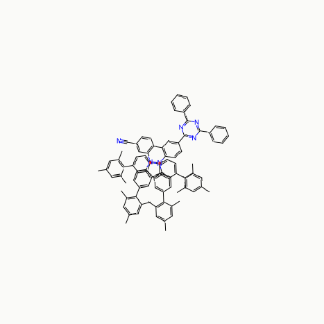 Cc1cc(C)c(-c2ccc3c(c2)c2cc(-c4c(C)cc(C)cc4C)ccc2n3-c2ccc(-c3nc(-c4ccccc4)nc(-c4ccccc4)n3)cc2-c2ccc(C#N)cc2-n2c3ccc(-c4c(C)cc(C)cc4C)cc3c3cc(-c4c(C)cc(C)cc4C)ccc32)c(C)c1